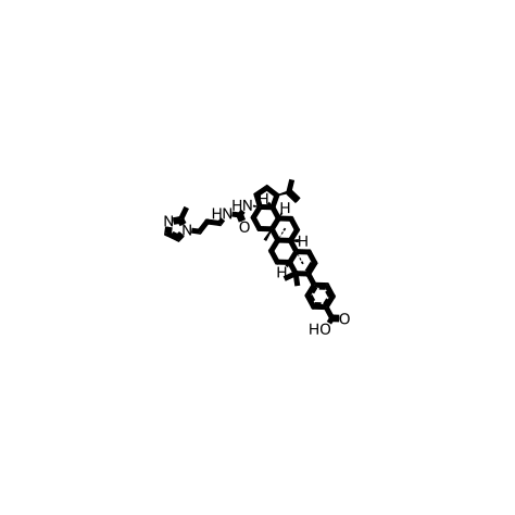 C=C(C)[C@@H]1CC[C@]2(NC(=O)NCCCn3ccnc3C)CC[C@]3(C)[C@H](CC[C@@H]4[C@@]5(C)CC=C(c6ccc(C(=O)O)cc6)C(C)(C)[C@@H]5CC[C@]43C)[C@@H]12